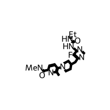 CCNC(=O)Nc1ncnc(CC2CCN(c3ccc(C(=O)NC)nc3C)CC2)c1F